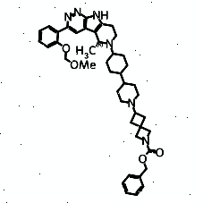 COCOc1ccccc1-c1cc2c3c([nH]c2nn1)CCN(C1CCC(C2CCN(C4CC5(C4)CN(C(=O)OCc4ccccc4)C5)CC2)CC1)[C@@H]3C